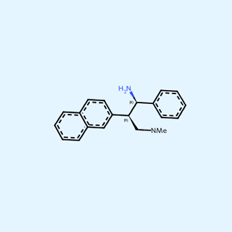 CNC[C@@H](c1ccc2ccccc2c1)[C@@H](N)c1ccccc1